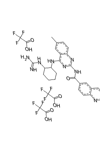 Cc1ccc2nc(NC(=O)c3ccc4ncccc4c3)nc(NC3CCCCC3NC(=N)N)c2c1.O=C(O)C(F)(F)F.O=C(O)C(F)(F)F.O=C(O)C(F)(F)F